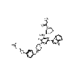 CN(C)CCOc1ccc(CN2CCN(c3nc(-c4cnc5ccccn45)nc(NC4CCCN(C(=O)CC#N)C4)c3F)CC2)cc1